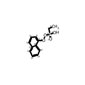 CCP(=O)(O)OOc1cccc2ccccc12